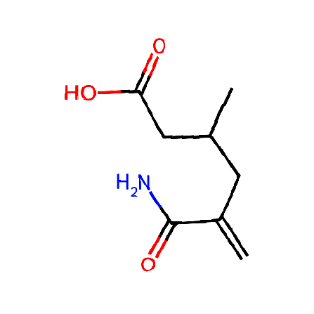 C=C(CC(C)CC(=O)O)C(N)=O